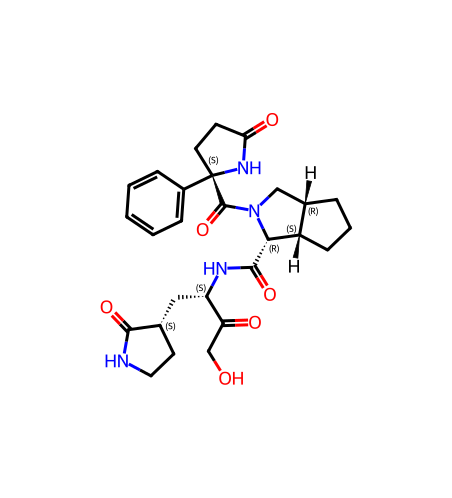 O=C1CC[C@@](C(=O)N2C[C@@H]3CCC[C@@H]3[C@@H]2C(=O)N[C@@H](C[C@@H]2CCNC2=O)C(=O)CO)(c2ccccc2)N1